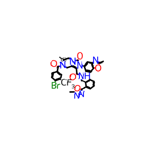 Cc1nnc(-c2ccccc2CNC(=O)c2c3n(c(=O)n2-c2ccc4oc(C)nc4c2)C[C@H](C)N(C(=O)c2ccc(Br)c(C(F)(F)F)c2)C3)o1